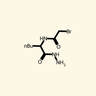 CCCCC(NC(=O)CBr)C(=O)NN